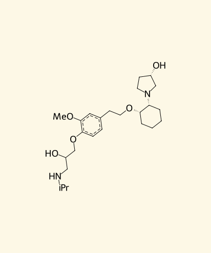 COc1cc(CCO[C@H]2CCCC[C@H]2N2CC[C@H](O)C2)ccc1OCC(O)CNC(C)C